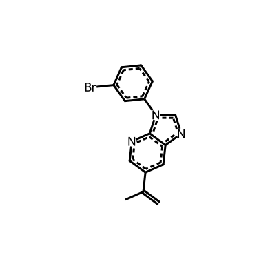 C=C(C)c1cnc2c(c1)ncn2-c1cccc(Br)c1